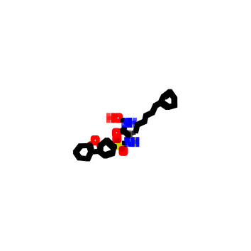 O=C(NO)[C@H](CCCCCCc1ccccc1)NS(=O)(=O)c1ccc2c3c(oc2c1)CCCC3